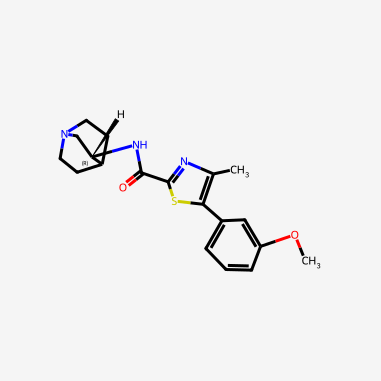 COc1cccc(-c2sc(C(=O)N[C@H]3CN4CCC3CC4)nc2C)c1